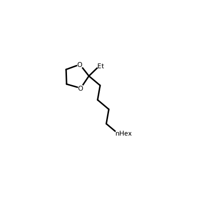 CCCCCCCCCCC1(CC)OCCO1